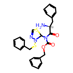 N[C@@H](Cc1ccccc1)C(=O)N(C(=O)OCc1ccccc1)C1SC=NN1SCc1ccccc1